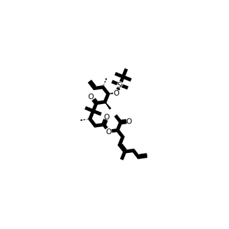 C=CC/C(C)=C\CC(OC(=O)C[C@H](C)C(C)(C)C(=O)[C@H](C)[C@@H](O[Si](C)(C)C(C)(C)C)[C@@H](C)C=C)C(C)=O